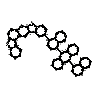 c1ccc2c(-c3c4ccccc4c(-c4ccc(-c5ccc6oc7cc8ccc9oc%10ccccc%10c9c8cc7c6c5)c5ccccc45)c4ccccc34)cccc2c1